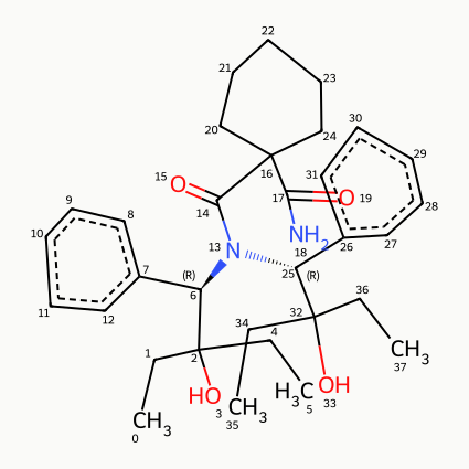 CCC(O)(CC)[C@@H](c1ccccc1)N(C(=O)C1(C(N)=O)CCCCC1)[C@H](c1ccccc1)C(O)(CC)CC